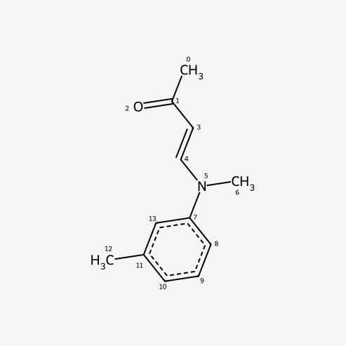 CC(=O)/C=C/N(C)c1cccc(C)c1